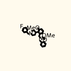 COC(=O)N(Cc1ccccc1)Cc1cccc(OC)c1C1CCN(Cc2ccc(F)cc2)CC1